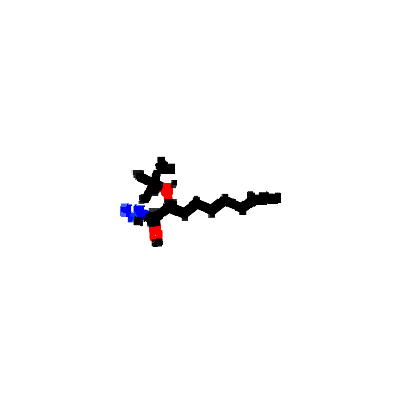 CCCCCCCCCCCCCCCC(O[Si](C)(C)C(C)(C)C)C(N)=O